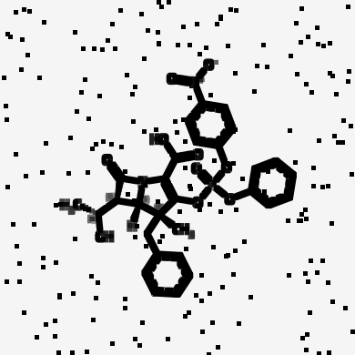 C[C@@H](O)[C@H]1C(=O)N2C(C(=O)O)=C(OP(=O)(Oc3ccccc3)Oc3ccc([N+](=O)[O-])cc3)[C@](C)(Cc3ccccc3)[C@H]12